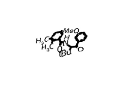 COc1cccc(C(=O)C(NC(=O)c2cccc(C)c2C)C(C)(C)C)c1